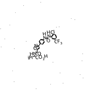 CC(C)C(NC(=O)c1cc(-c2ccc(NC(=O)Nc3cc(C(F)(F)F)ccc3Cl)cc2)no1)C(=O)O